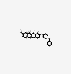 NC(=O)C1=C(O)C[C@@H]2C[C@@H]3Cc4ccc(NC5CCN(Cc6ccccc6)CC5)c(O)c4C(=O)C3=C(O)[C@]2(O)C1=O